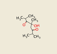 CC(C)C(=O)CC(C)(O)C(=O)C(C)C